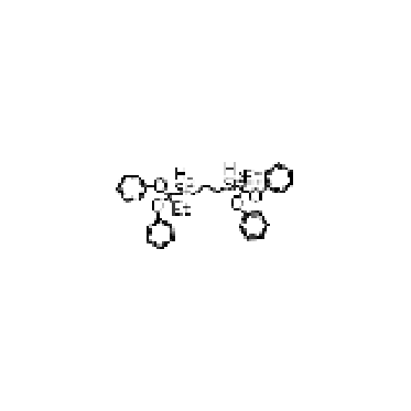 CCC(Oc1ccccc1)(Oc1ccccc1)[SiH2]CCC[SiH2]C(CC)(Oc1ccccc1)Oc1ccccc1